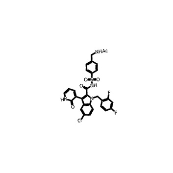 CC(=O)NCc1ccc(S(=O)(=O)NC(=O)c2c(-c3ccc[nH]c3=O)c3cc(Cl)ccc3n2Cc2ccc(F)cc2F)cc1